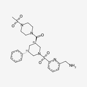 CS(=O)(=O)N1CCN(C(=O)[C@@H]2C[C@@H](c3ccccc3)CN(S(=O)(=O)c3cccc(CN)n3)C2)CC1